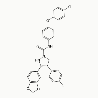 O=C(Nc1ccc(Oc2ccc(Cl)cc2)cc1)N1CC(c2ccc(F)cc2)=C(c2ccc3c(c2)OCO3)N1